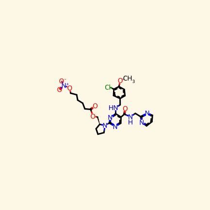 COc1ccc(CNc2nc(N3CCC[C@H]3COC(=O)CCCCCO[N+](=O)[O-])ncc2C(=O)NCc2ncccn2)cc1Cl